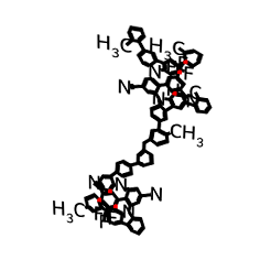 Cc1cccc(-c2ccc3c4ccccc4n(-c4cc(C#N)cc(-n5c6ccccc6c6ccc(-c7cccc(Cc8ccc(C)c(-c9ccc%10c(c9)c9cc(-c%11ccccc%11C)ccc9n%10-c9cc(C#N)cc(-n%10c%11ccc(-c%12ccccc%12C)cc%11c%11cc(-c%12ccccc%12C)ccc%11%10)c9-c9cc(C#N)cc(C(F)(F)F)c9)c8)c7)cc65)c4-c4cc(C#N)cc(C(F)(F)F)c4)c3c2)c1